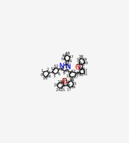 c1ccc(-c2ccc(-c3cc(-c4cc(-c5cccc6c5oc5ccccc56)cc(-c5cccc6c5oc5ccccc56)c4)nc(-c4ccccc4)n3)cc2)cc1